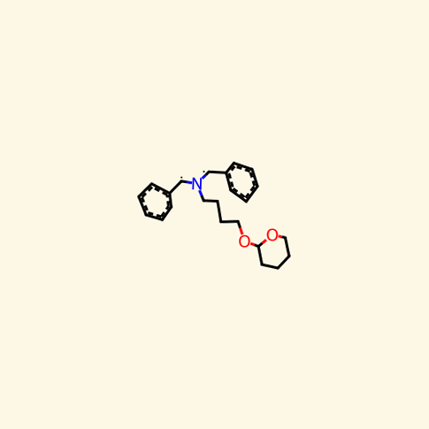 [CH](c1ccccc1)N([CH]c1ccccc1)CCCCOC1CCCCO1